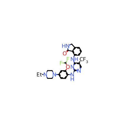 CCN1CCN(c2ccc(Nc3ncc(C(F)(F)F)c(Nc4cccc5c4C(=O)NC5)n3)c(OC(F)F)c2)CC1